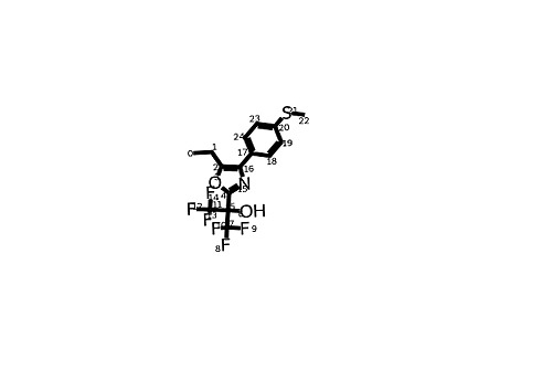 CCc1oc(C(O)(C(F)(F)F)C(F)(F)F)nc1-c1ccc(SC)cc1